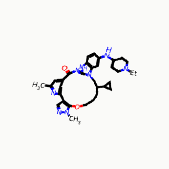 CCN1CCC(Nc2ccc3c(c2)N2CC(C4CC4)CCCOc4c(cnn4C)-c4cc(cc(C)n4)C(=O)/N=C/2N3)CC1